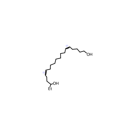 CCC(O)CC/C=C\CCCCCCC/C=C\CCCCO